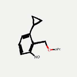 CCCOCc1c(N=O)cccc1C1CC1